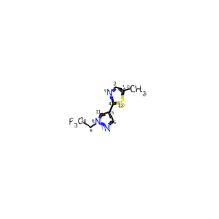 Cc1cnc(-c2cnn(CC(F)(F)F)c2)s1